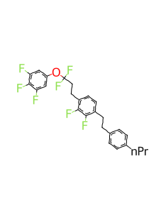 CCCc1ccc(CCc2ccc(CCC(F)(F)Oc3cc(F)c(F)c(F)c3)c(F)c2F)cc1